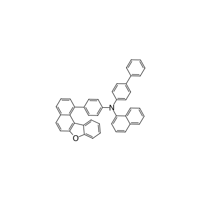 c1ccc(-c2ccc(N(c3ccc(-c4cccc5ccc6oc7ccccc7c6c45)cc3)c3cccc4ccccc34)cc2)cc1